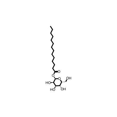 CCCCCCCCCCCCCC(=O)O[C@H]1O[C@H](CO)[C@H](O)[C@@H](O)[C@H]1O